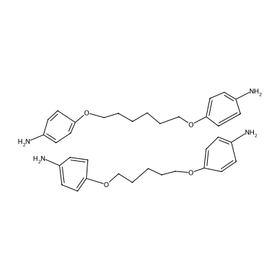 Nc1ccc(OCCCCCCOc2ccc(N)cc2)cc1.Nc1ccc(OCCCCCOc2ccc(N)cc2)cc1